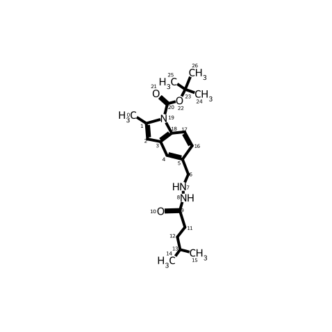 Cc1cc2cc(CNNC(=O)CCC(C)C)ccc2n1C(=O)OC(C)(C)C